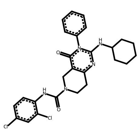 O=C(Nc1ccc(Cl)cc1Cl)N1CCc2nc(NC3CCCCC3)n(-c3ccccc3)c(=O)c2C1